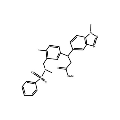 COC(=O)CC(c1ccc(C)c(CN(C)S(=O)(=O)c2ccccc2)c1)c1ccc2c(c1)nnn2C